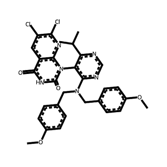 COc1ccc(CN(Cc2ccc(OC)cc2)c2ncnc(C(C)C)c2-n2c(=O)[nH]c(=O)c3cc(Cl)c(Cl)nc32)cc1